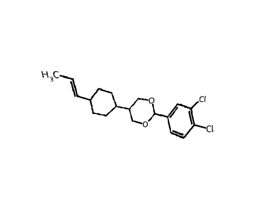 C/C=C/C1CCC(C2COC(c3ccc(Cl)c(Cl)c3)OC2)CC1